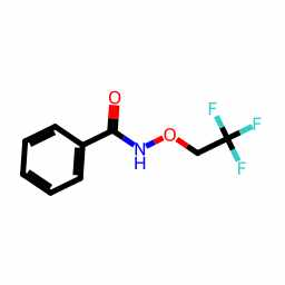 O=C(NOCC(F)(F)F)c1ccccc1